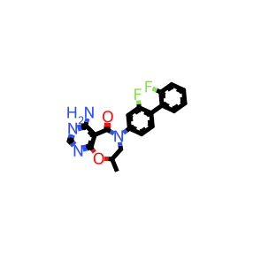 CC1CN(c2ccc(-c3ccccc3F)c(F)c2)C(=O)c2c(N)ncnc2O1